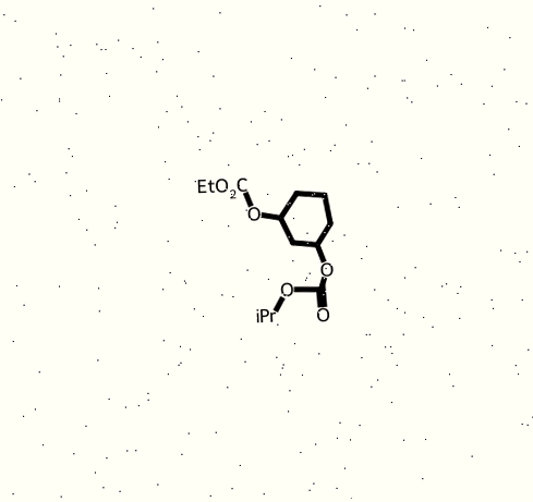 CCOC(=O)OC1CCCC(OC(=O)OC(C)C)C1